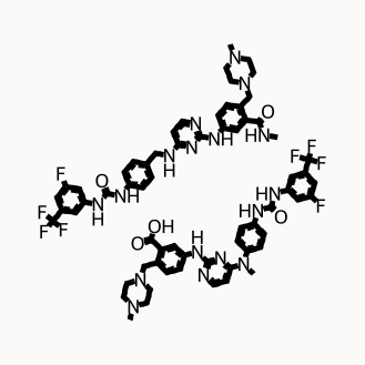 CN1CCN(Cc2ccc(Nc3nccc(N(C)c4ccc(NC(=O)Nc5cc(F)cc(C(F)(F)F)c5)cc4)n3)cc2C(=O)O)CC1.CNC(=O)c1cc(Nc2nccc(NCc3ccc(NC(=O)Nc4cc(F)cc(C(F)(F)F)c4)cc3)n2)ccc1CN1CCN(C)CC1